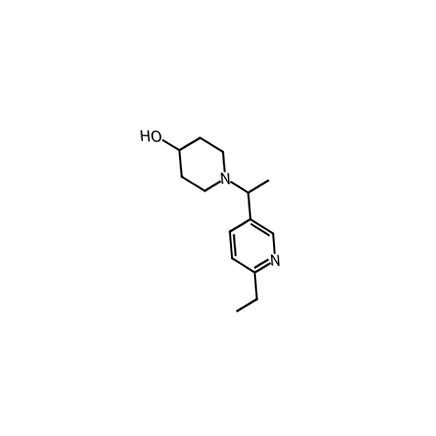 CCc1ccc(C(C)N2CCC(O)CC2)cn1